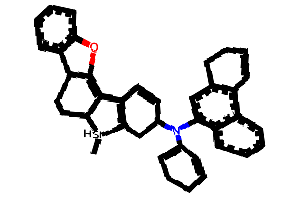 C[SiH]1C2=C(C=CC(N(C3=CCCC=C3)c3cc4c(c5ccccc35)C=CCC4)C2)C2=C3Oc4ccccc4C3CCC21